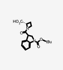 CC(C)(C)OC(=O)N1CC(C(=O)N2CC[C@H]2C(=O)O)c2ccccc21